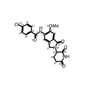 COc1cc2c(cc1NC(=O)c1ccc(Cl)cc1)CN(C1CCC(=O)NC1=O)C2=O